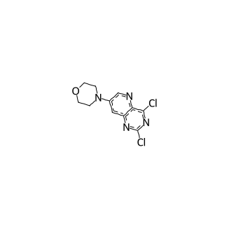 Clc1nc(Cl)c2ncc(N3CCOCC3)cc2n1